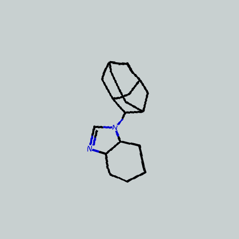 C1=NC2CCCCC2N1C1C2CC3CC(C2)CC1C3